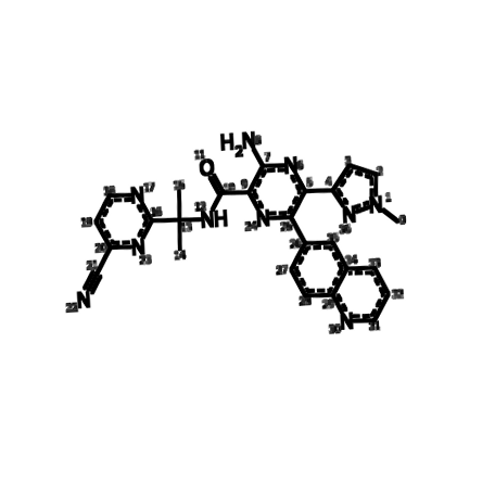 Cn1ccc(-c2nc(N)c(C(=O)NC(C)(C)c3nccc(C#N)n3)nc2-c2ccc3ncccc3c2)n1